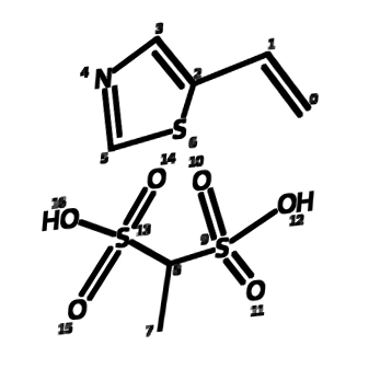 C=Cc1cncs1.CC(S(=O)(=O)O)S(=O)(=O)O